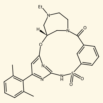 CCN1CCN2C[C@@H](C1)Oc1cc(-c3c(C)cccc3C)nc(n1)NS(=O)(=O)c1cccc(c1)C2=O